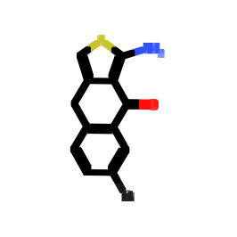 CCc1ccc2c(c1)C(=O)c1c(csc1N)C2